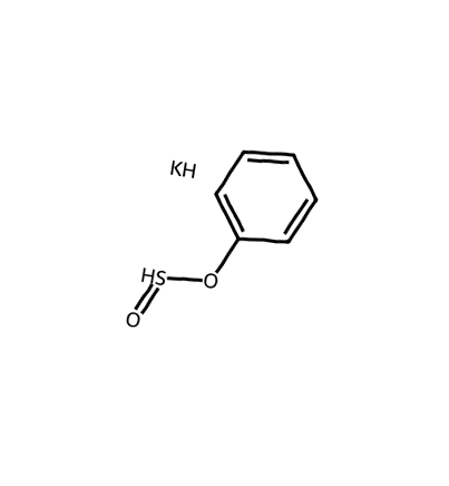 O=[SH]Oc1ccccc1.[KH]